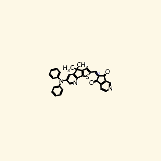 CC1(C)c2cc(N(c3ccccc3)c3ccccc3)cnc2-c2sc(/C=C3\C(=O)c4ccncc4C3=O)cc21